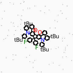 CC(C)(C)c1ccc(N(c2ccc(C(C)(C)C)cc2)c2cc3c(c4oc5ccccc5c24)-c2c(cc(N(c4ccc(C(C)(C)C)cc4)c4ccc(C(C)(C)C)cc4)c4c2oc2ccccc24)C3(c2ccc(F)cc2)c2ccc(F)cc2)cc1